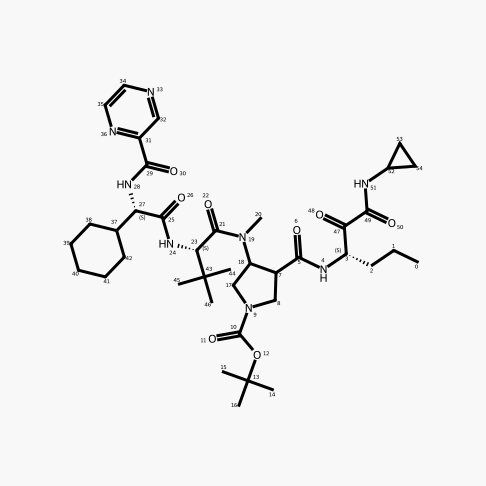 CCC[C@H](NC(=O)C1CN(C(=O)OC(C)(C)C)CC1N(C)C(=O)[C@@H](NC(=O)[C@@H](NC(=O)c1cnccn1)C1CCCCC1)C(C)(C)C)C(=O)C(=O)NC1CC1